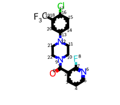 O=C(c1cccnc1F)N1CCN(c2ccc(Cl)c(C(F)(F)F)c2)CC1